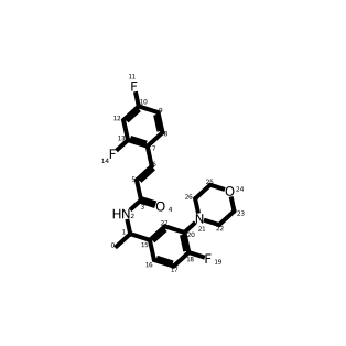 CC(NC(=O)/C=C/c1ccc(F)cc1F)c1ccc(F)c(N2CCOCC2)c1